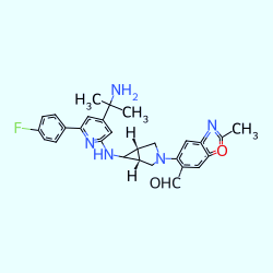 Cc1nc2cc(N3C[C@@H]4C(Nc5cc(C(C)(C)N)cc(-c6ccc(F)cc6)n5)[C@@H]4C3)c(C=O)cc2o1